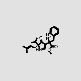 COC(=O)C(N)(Cc1ccccc1)C1=CN[C@@](CC=C(C)C)(C(C)C)C1=O